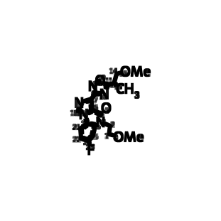 COCCn1c(=O)c2c(-c3noc(C(C)COC)n3)ncn2c2ccc(F)cc21